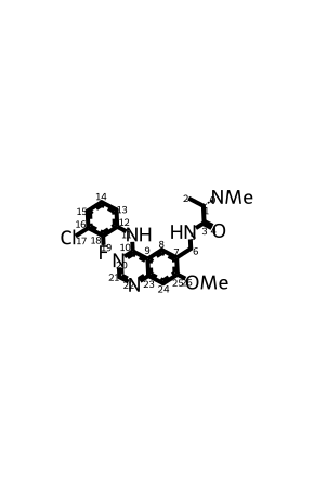 CN[C@@H](C)C(=O)NCc1cc2c(Nc3cccc(Cl)c3F)ncnc2cc1OC